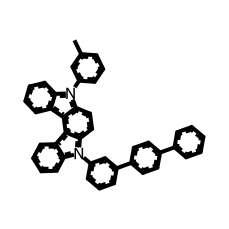 Cc1cccc(-n2c3ccccc3c3c4c5ccccc5n(-c5cccc(-c6ccc(-c7ccccc7)cc6)c5)c4ccc32)c1